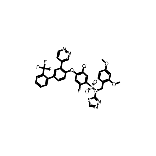 COc1ccc(CN(c2nncs2)S(=O)(=O)c2cc(Cl)c(Oc3ccc(-c4ccccc4C(F)(F)F)cc3-c3ccnnc3)cc2F)c(OC)c1